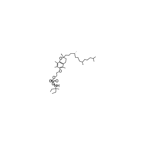 CCC(C)(CC)NOS(=O)(=O)OCCOc1c(C)c(C)c2c(c1C)CC[C@@](C)(CCC[C@H](C)CCC[C@H](C)CCCC(C)C)O2